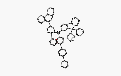 c1ccc(-c2ccc(-c3ccc(N(c4ccc5c(c4)C(c4ccccc4)(c4ccccc4)c4ccccc4-5)c4cc(-c5cc6ccccc6c6ccccc56)ccc4-c4ccccc4)cc3)cc2)cc1